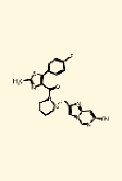 Cc1nc(C(=O)N2CCCC[C@H]2Cc2cn3cnc(C#N)cc3n2)c(-c2ccc(F)cc2)s1